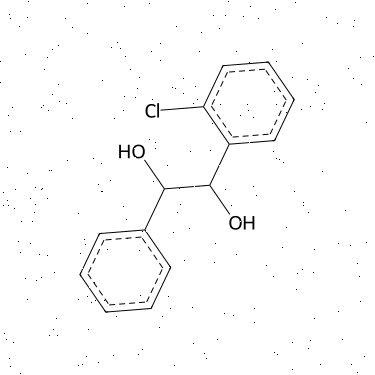 OC(c1ccccc1)C(O)c1ccccc1Cl